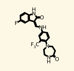 O=C1CCN(c2ccc(NC=C3C(=O)Nc4ccc(F)cc43)cc2C(F)(F)F)CCN1